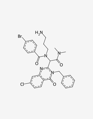 CN(C)C(=O)C(c1nc2cc(Cl)ccc2c(=O)n1Cc1ccccc1)N(CCCN)C(=O)c1ccc(Br)cc1